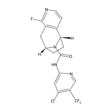 O=C(Nc1cc(Cl)c(C(F)(F)F)cn1)N1[C@@H]2CC[C@H]1c1ccnc(F)c1C2